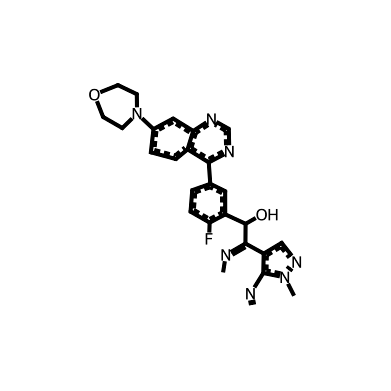 C=Nc1c(/C(=N\C)C(O)c2cc(-c3ncnc4cc(N5CCOCC5)ccc34)ccc2F)cnn1C